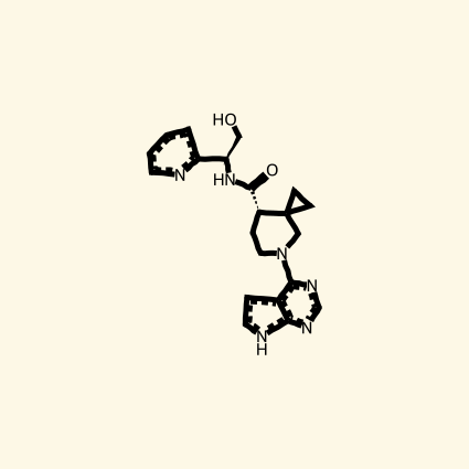 O=C(N[C@H](CO)c1ccccn1)[C@H]1CCN(c2ncnc3[nH]ccc23)CC12CC2